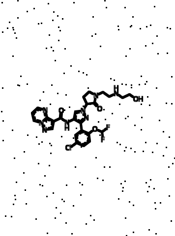 O=C(Nc1cn(C2CCN(CCNCCO)C2=O)nc1-c1cc(Cl)ccc1OC(F)F)c1cnn2cccnc12